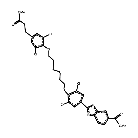 COC(=O)CCc1cc(Cl)c(OCCCOCCOc2c(Cl)cc(-c3nc4ccc(C(=O)OC)cc4o3)cc2Cl)c(Cl)c1